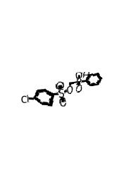 O=P(O)(COS(=O)(=O)c1ccc(Cl)cc1)c1ccccc1